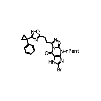 CCCCCn1c2nc(Br)[nH]c2c(=O)n2c(CCc3nc(C4(c5ccccc5)CC4)no3)nnc12